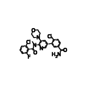 CN(C(=O)c1c(F)cccc1Cl)c1ncc(-c2cc(C(N)=O)ccc2Cl)cc1N1CCOCC1